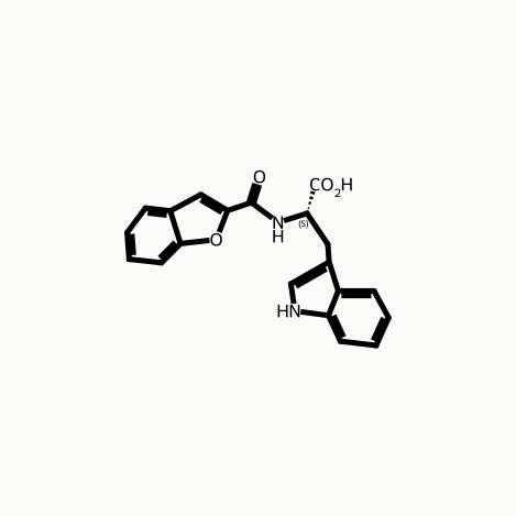 O=C(N[C@@H](Cc1c[nH]c2ccccc12)C(=O)O)c1cc2ccccc2o1